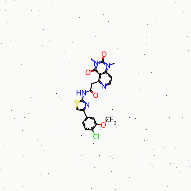 Cn1c(=O)c2c(CC(=O)Nc3nc(-c4ccc(Cl)c(OC(F)(F)F)c4)cs3)nccc2n(C)c1=O